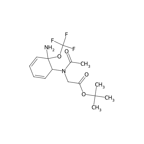 CC(=O)N(CC(=O)OC(C)(C)C)C1C=CC=CC1(N)OC(F)(F)F